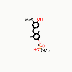 COP(=O)(O)COc1cc(C)c(Cc2ccc(O)c(SC)c2)c(C)c1